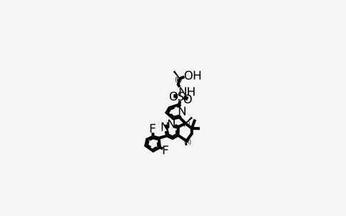 C[C@@H]1CC(C)(C)[C@@](C)(c2cccc(S(=O)(=O)NC[C@@H](C)O)n2)c2nnc(-c3c(F)cccc3F)cc21